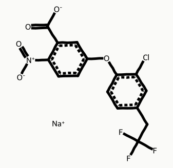 O=C([O-])c1cc(Oc2ccc(CC(F)(F)F)cc2Cl)ccc1[N+](=O)[O-].[Na+]